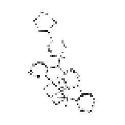 CC1(C)c2ccccc2-c2ccc(N(c3ccccc3C34CC5CC6CCC3CCC654)C3(C)C=CC(C4CCCCC4)=CC3)cc21